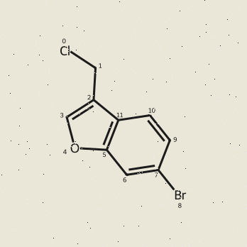 ClCc1coc2cc(Br)ccc12